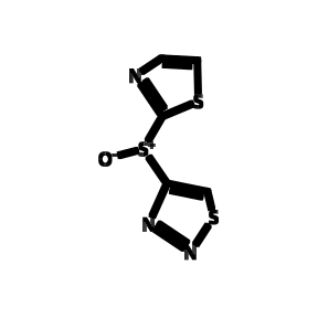 [O-][S+](c1csnn1)c1nccs1